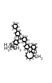 C=C1/C=C\C=C/CN(c2ccc(-c3cccc(N(c4ccc(-c5ccccc5)cc4)c4ccc([Si](C)(C)C)cc4)c3)cc2)c2c1oc1ccccc21